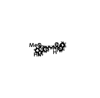 COC(=O)c1cccc2[nH]cc(C3CCN(CCCNC(=O)c4nccc5ccccc45)CC3)c12